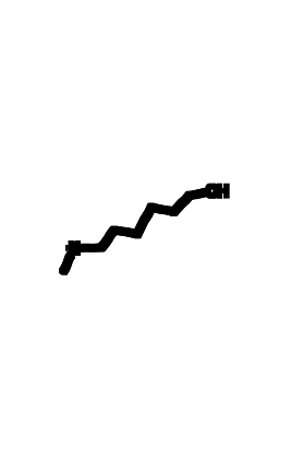 C[N]CCCCCCO